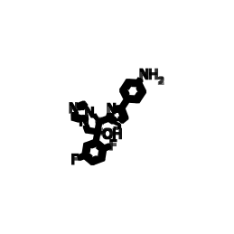 C[C@@H](c1nc(-c2ccc(N)cc2)cs1)[C@](O)(Cn1cncn1)c1cc(F)ccc1F